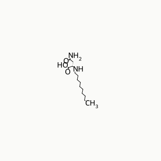 CCCCCCCCCCN[C@@H](CC(N)=O)C(=O)O